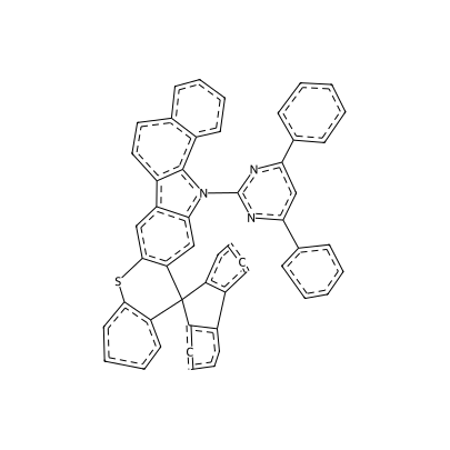 c1ccc(-c2cc(-c3ccccc3)nc(-n3c4cc5c(cc4c4ccc6ccccc6c43)Sc3ccccc3C53c4ccccc4-c4ccccc43)n2)cc1